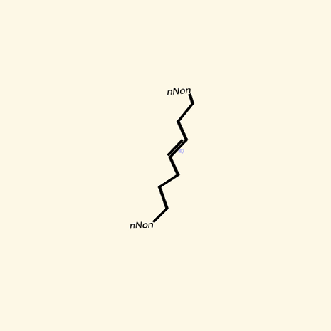 CCCCCCCCCCC/C=C/CCCCCCCCCCCC